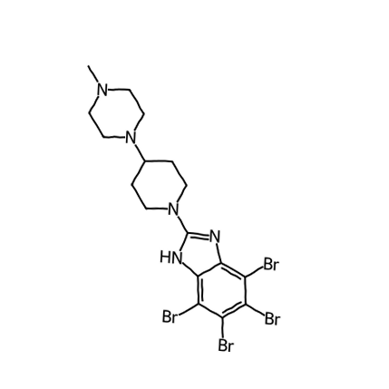 CN1CCN(C2CCN(c3nc4c(Br)c(Br)c(Br)c(Br)c4[nH]3)CC2)CC1